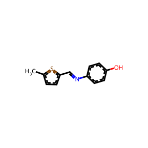 Cc1ccc(/C=N/c2ccc(O)cc2)s1